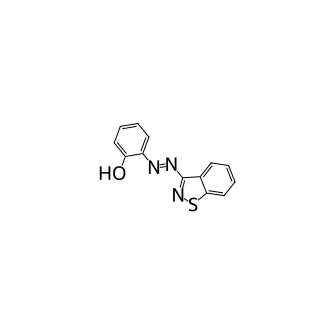 Oc1ccccc1N=Nc1nsc2ccccc12